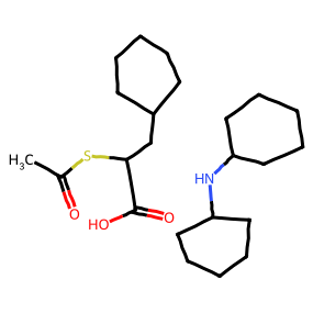 C1CCC(NC2CCCCC2)CC1.CC(=O)SC(CC1CCCCC1)C(=O)O